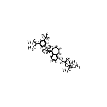 CC(C)c1cc(C(F)(F)F)cc(S(=O)(=O)NC2CCCCC3=C(OCC(=O)OC(C)(C)C)C=CCC32)c1